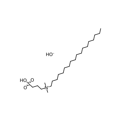 CCCCCCCCCCCCCCCCCC[N+](C)(C)CCCS(=O)(=O)O.[OH-]